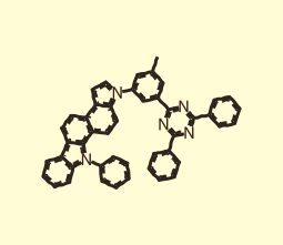 Cc1cc(-c2nc(-c3ccccc3)nc(-c3ccccc3)n2)cc(-n2ccc3c4ccc5c6ccccc6n(-c6ccccc6)c5c4ccc32)c1